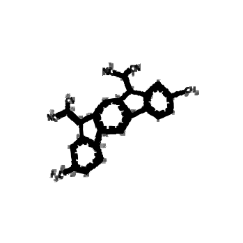 Cc1ccc2c(c1)C(=C(C#N)C#N)c1cc3c(cc1-2)-c1ccc(C(F)(F)F)cc1C3=C(C#N)C#N